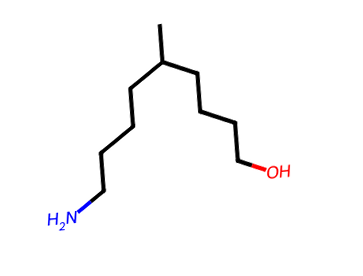 CC(CCCCN)CCCCO